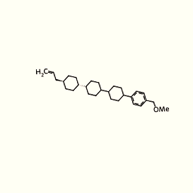 C=CC[C@H]1CC[C@H](C2CCC(C3CCC(c4ccc(COC)cc4)CC3)CC2)CC1